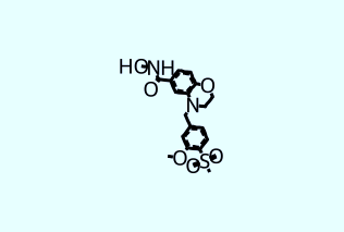 COc1cc(CN2CCOc3ccc(C(=O)NO)cc32)ccc1S(C)(=O)=O